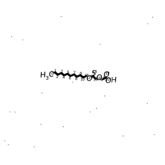 CCCCCCCCCCCCOC(=S)COCC(=O)O